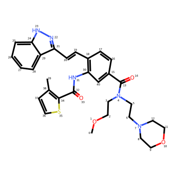 COCCN(CCN1CCOCC1)C(=O)c1ccc(C=Cc2n[nH]c3ccccc23)c(NC(=O)c2sccc2C)c1